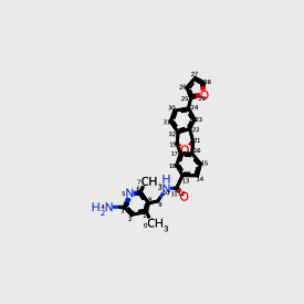 Cc1cc(N)nc(C)c1CNC(=O)c1ccc2c(c1)C1OC2c2cc(-c3ccco3)ccc21